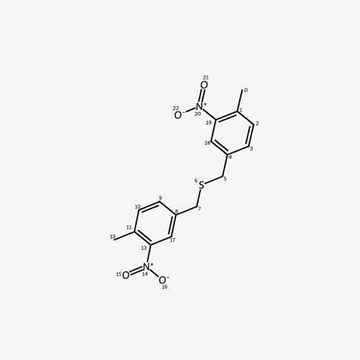 Cc1ccc(CSCc2ccc(C)c([N+](=O)[O-])c2)cc1[N+](=O)[O-]